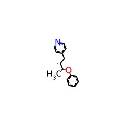 CC([CH]Cc1ccncc1)Oc1ccccc1